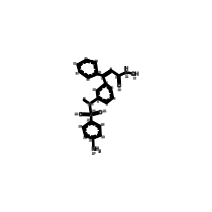 CN(c1cccc(/C(=C\C(=O)NO)c2ccccc2)c1)S(=O)(=O)c1ccc(N)cc1